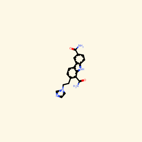 NC(=O)c1ccc2[nH]c3c(C(N)=O)c(CCn4ccnc4)ccc3c2c1